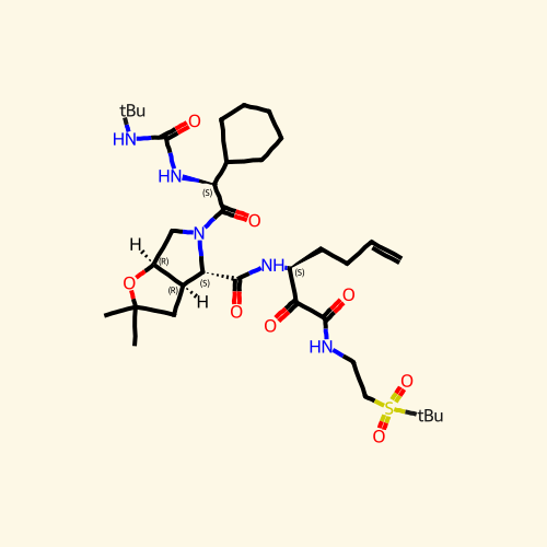 C=CCC[C@H](NC(=O)[C@@H]1[C@H]2CC(C)(C)O[C@H]2CN1C(=O)[C@@H](NC(=O)NC(C)(C)C)C1CCCCC1)C(=O)C(=O)NCCS(=O)(=O)C(C)(C)C